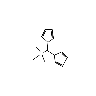 C[Si](C)(C)[C](C1C=CC=C1)C1C=CC=C1.[Zr]